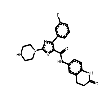 O=C1CCc2cc(NC(=O)c3sc(N4CCNCC4)nc3-c3cccc(F)c3)ccc2N1